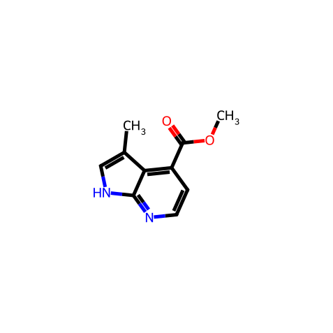 COC(=O)c1ccnc2[nH]cc(C)c12